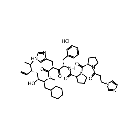 C=C[C@@H](C[C@H](O)[C@H](CC1CCCCC1)N(C)C(=O)[C@@H](Cc1c[nH]cn1)C(=O)[C@H](Cc1ccccc1)NC(=O)[C@@H]1CCCN1C(=O)[C@H]1CCCN1C(=O)CCn1ccnc1)C(C)C.Cl